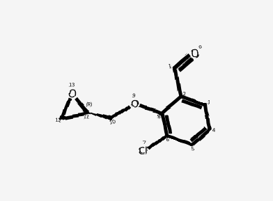 O=Cc1cccc(Cl)c1OC[C@H]1CO1